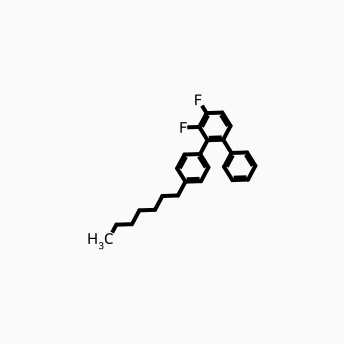 CCCCCCCc1ccc(-c2c(-c3ccccc3)ccc(F)c2F)cc1